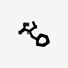 CO[C@@H](Cc1ccccc1)C(=O)O